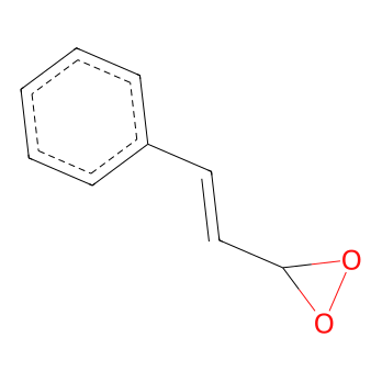 C(=CC1OO1)c1ccccc1